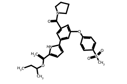 C=C(OC(C)CC)c1ccc(-c2cc(Oc3ccc(S(C)(=O)=O)cc3)cc(C(=O)N3CCCC3)c2)[nH]1